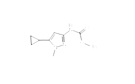 Cn1nc(NC(=O)OC(C)(C)C)cc1C1CC1